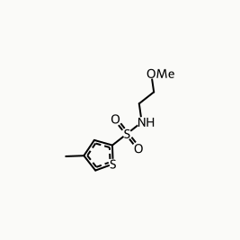 COCCNS(=O)(=O)c1cc(C)cs1